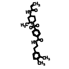 C=CC(=O)NC1CCN(S(=O)(=O)c2ccc(C(=O)NCCc3ccc(C)c(C)c3)cc2)C(C)C1